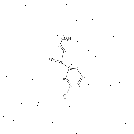 O=C(O)/C=C/C(=O)c1cccc(Cl)c1